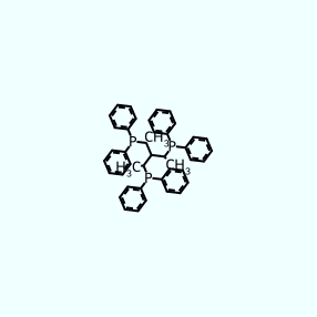 CC(C(C(C)P(c1ccccc1)c1ccccc1)C(C)P(c1ccccc1)c1ccccc1)P(c1ccccc1)c1ccccc1